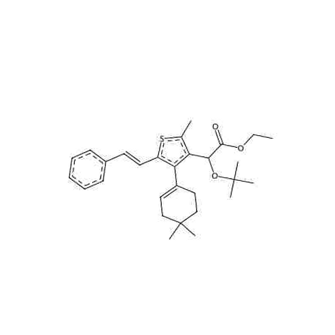 CCOC(=O)C(OC(C)(C)C)c1c(C)sc(C=Cc2ccccc2)c1C1=CCC(C)(C)CC1